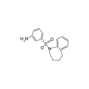 Nc1cccc(S(=O)(=O)N2CCCCc3ccccc32)c1